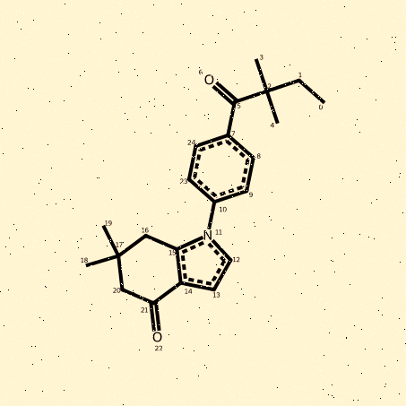 CCC(C)(C)C(=O)c1ccc(-n2ccc3c2CC(C)(C)CC3=O)cc1